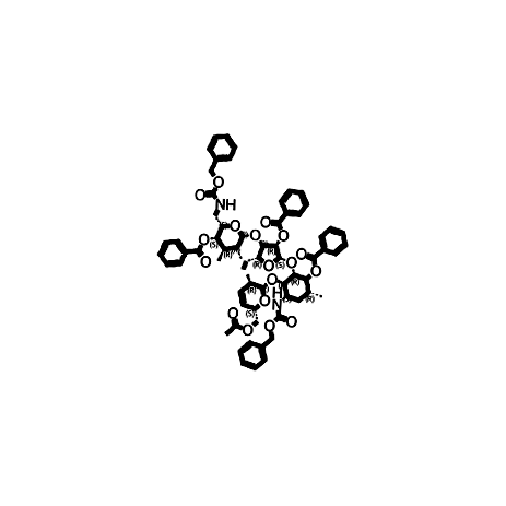 CC[C@H]1O[C@@H](O[C@@H]2C(OC(=O)c3ccccc3)[C@H](C)C[C@H](NC(=O)OCc3ccccc3)[C@H]2O[C@H]2O[C@H](COC(C)=O)C=C[C@H]2C)[C@H](OC(=O)c2ccccc2)[C@@H]1O[C@H]1O[C@@H](CNC(=O)OCc2ccccc2)[C@@H](OC(=O)c2ccccc2)[C@H](C)[C@H]1C